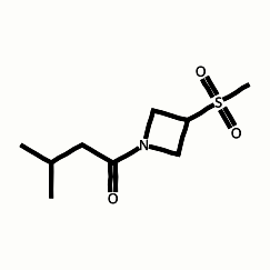 CC(C)CC(=O)N1CC(S(C)(=O)=O)C1